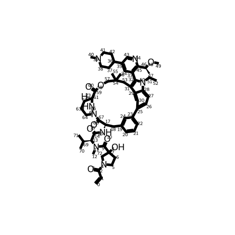 C=CC(=O)N1CCC(O)(C(=O)N(C)[C@H](C(=O)N[C@H]2Cc3cccc(c3)-c3ccc4c(c3)c(c(-c3cc(C5CCN(C)CC5)cnc3[C@H](C)OC)n4CC)CC(C)(C)COC(=O)[C@@H]3CCCN(N3)C2=O)C(C)C)C1